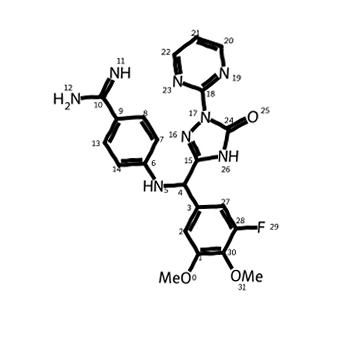 COc1cc(C(Nc2ccc(C(=N)N)cc2)c2nn(-c3ncccn3)c(=O)[nH]2)cc(F)c1OC